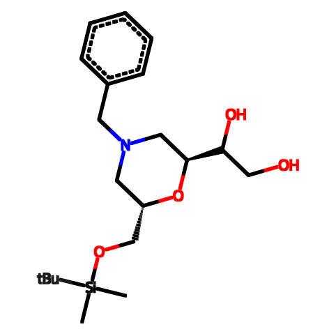 CC(C)(C)[Si](C)(C)OC[C@@H]1CN(Cc2ccccc2)C[C@@H](C(O)CO)O1